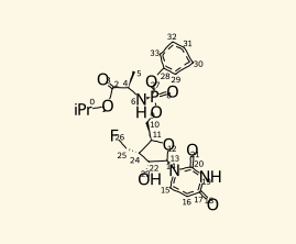 CC(C)OC(=O)[C@@H](C)N[P@@](=O)(OC[C@H]1O[C@@H](n2ccc(=O)[nH]c2=O)[C@H](O)[C@@H]1CF)Oc1ccccc1